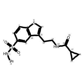 CC(C)NS(=O)(=O)c1ccc2scc(CCNC(=O)C3CC3)c2c1